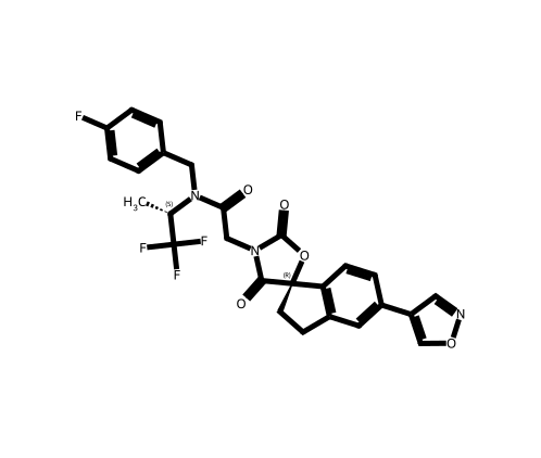 C[C@H](N(Cc1ccc(F)cc1)C(=O)CN1C(=O)O[C@@]2(CCc3cc(-c4cnoc4)ccc32)C1=O)C(F)(F)F